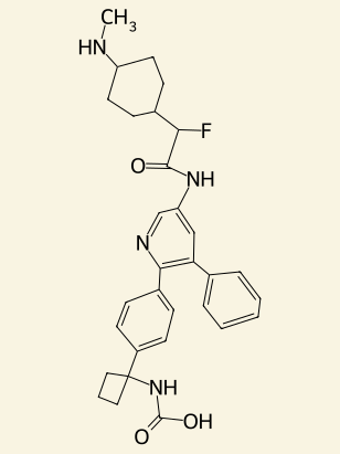 CNC1CCC(C(F)C(=O)Nc2cnc(-c3ccc(C4(NC(=O)O)CCC4)cc3)c(-c3ccccc3)c2)CC1